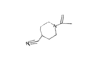 C=C(C)N1CCC(C#N)CC1